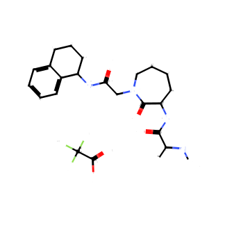 CNC(C)C(=O)NC1CCCCN(CC(=O)NC2CCCc3ccccc32)C1=O.O=C(O)C(F)(F)F